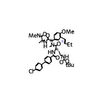 CC/C=C/c1cc([C@@H](C(=O)N[C@@H](C)C(=O)NC)N(C)C(=O)[C@H](CCNC(=O)OC(C)(C)C)NC(=O)c2ccc(-c3ccc(Cl)cc3)cc2)ccc1OC